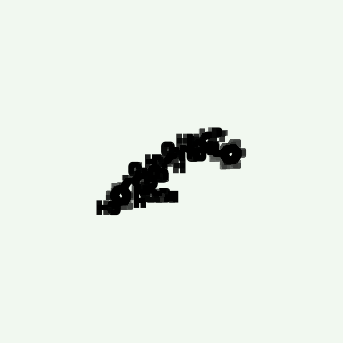 CC(C)C[C@H](NC(=O)CNC(=O)CNC(=O)CNC(=O)[C@H](Cc1ccc(O)cc1)NC(=O)OC(C)(C)C)C(=O)OCc1ccccc1